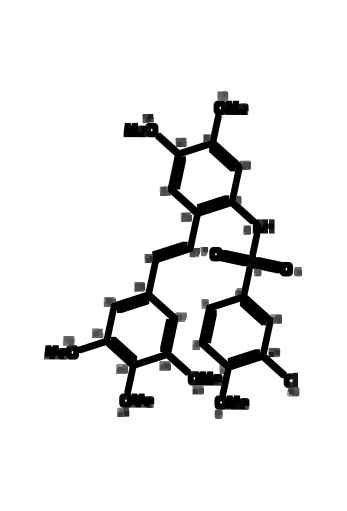 COc1ccc(S(=O)(=O)Nc2cc(OC)c(OC)cc2C=Cc2cc(OC)c(OC)c(OC)c2)cc1Cl